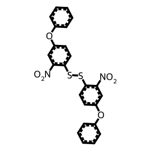 O=[N+]([O-])c1cc(Oc2ccccc2)ccc1SSc1ccc(Oc2ccccc2)cc1[N+](=O)[O-]